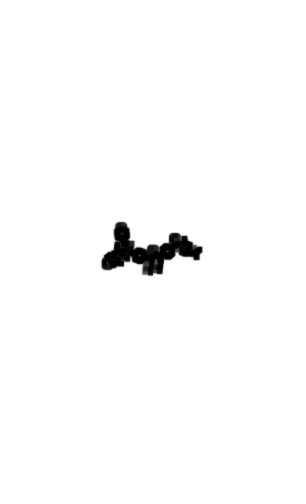 CC(C)N1CCN(C(=O)c2ccc(NC(=O)Nc3ccc(-c4nc(C5CCOCC5)nc(N5CCOCC5C)n4)cc3)cc2)C(C)C1